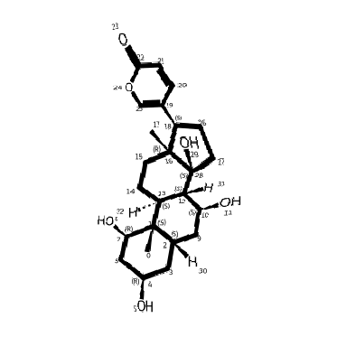 C[C@@]12[C@@H](C[C@@H](O)C[C@H]1O)C[C@H](O)[C@@H]1[C@@H]2CC[C@]2(C)[C@@H](c3ccc(=O)oc3)CC[C@]12O